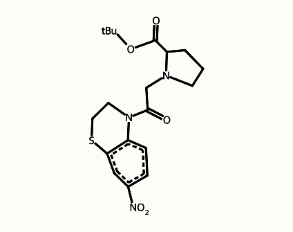 CC(C)(C)OC(=O)C1CCCN1CC(=O)N1CCSc2cc([N+](=O)[O-])ccc21